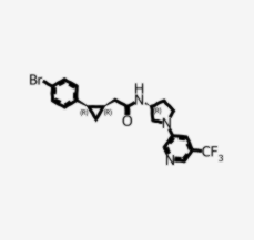 O=C(C[C@H]1C[C@H]1c1ccc(Br)cc1)N[C@@H]1CCN(c2cncc(C(F)(F)F)c2)C1